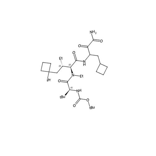 CC[C@@H](CC1(C(C)C)CCC1)[C@@H](C(=O)NC(CC1CCC1)C(=O)C(N)=O)N(CC)C(=O)[C@@H](NC(=O)OC(C)(C)C)C(C)(C)C